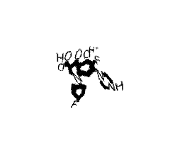 O=C(O)c1cn(-c2ccc(F)cc2)c2cc(N3CCNCC3)c(F)cc2c1=O.[Cl-].[H+]